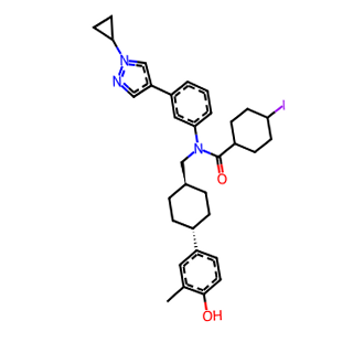 Cc1cc([C@H]2CC[C@H](CN(C(=O)C3CCC(I)CC3)c3cccc(-c4cnn(C5CC5)c4)c3)CC2)ccc1O